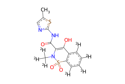 [2H]c1c([2H])c([2H])c2c(c1[2H])C(O)=C(C(=O)Nc1ncc(C)s1)N(C([2H])([2H])[2H])S2(=O)=O